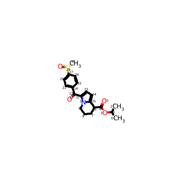 CC(C)OC(=O)C1CCCn2c(C(=O)c3ccc([S+](C)[O-])cc3)ccc21